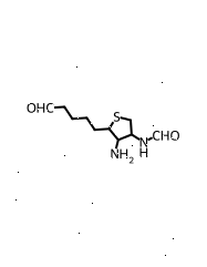 NC1C(NC=O)CSC1CCCCC=O